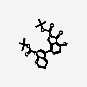 CC(C)(C)OC(=O)N1Cc2c(-c3cn(C(=O)OC(C)(C)C)c4ncccc34)ccc(Br)c2C1=O